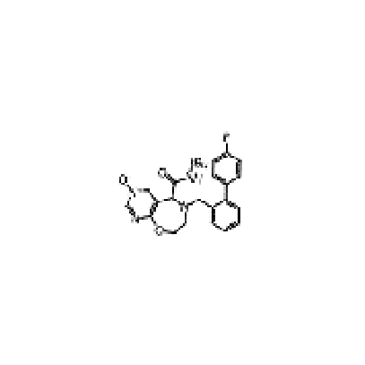 CC(C)(C)NC(=O)C1c2c[n+]([O-])cnc2OCCN1Cc1ccccc1-c1ccc(F)cc1